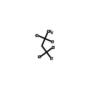 [CH2]C(Cl)(Cl)CC(Cl)(Cl)Cl